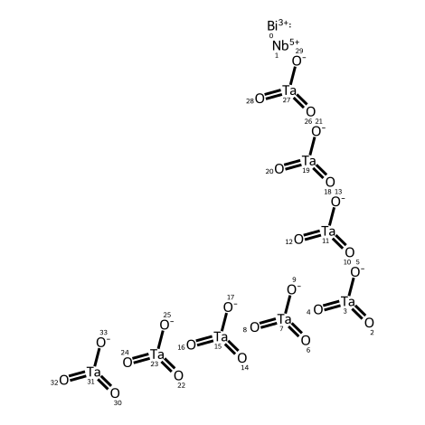 [Bi+3].[Nb+5].[O]=[Ta](=[O])[O-].[O]=[Ta](=[O])[O-].[O]=[Ta](=[O])[O-].[O]=[Ta](=[O])[O-].[O]=[Ta](=[O])[O-].[O]=[Ta](=[O])[O-].[O]=[Ta](=[O])[O-].[O]=[Ta](=[O])[O-]